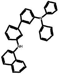 c1ccc(N(c2ccccc2)c2cccc(-c3cccc(Nc4cccc5ccccc45)c3)c2)cc1